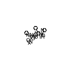 CC(C)C1C(=O)N(CC(=O)N[C@@H](Cc2ccccc2)C(=O)C2=NC(C)(C)CO2)C(c2ccccc2)=CN1C(=O)c1ccccn1